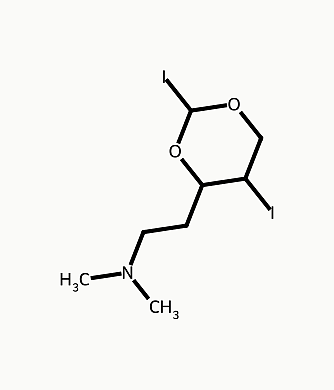 CN(C)CCC1OC(I)OCC1I